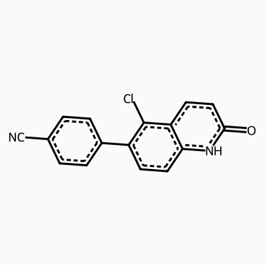 N#Cc1ccc(-c2ccc3[nH]c(=O)ccc3c2Cl)cc1